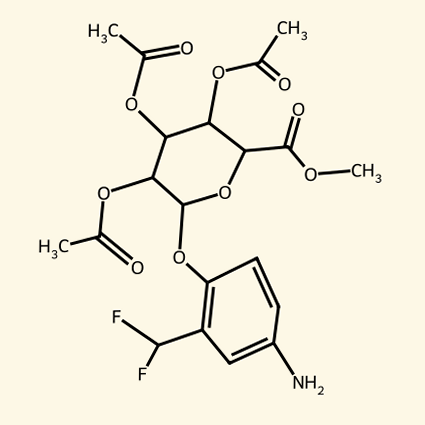 COC(=O)C1OC(Oc2ccc(N)cc2C(F)F)C(OC(C)=O)C(OC(C)=O)C1OC(C)=O